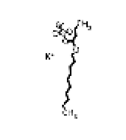 CCCCCCCCCCOC(CCC)OS(=O)(=O)[O-].[K+]